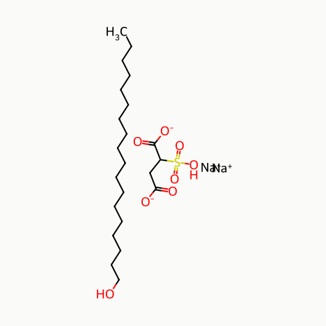 CCCCCCCCCCCCCCCCCCO.O=C([O-])CC(C(=O)[O-])S(=O)(=O)O.[Na+].[Na+]